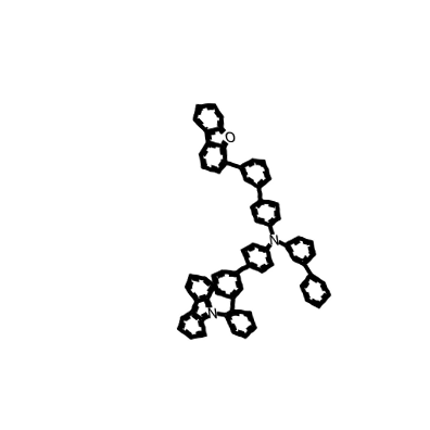 c1ccc(-c2cccc(N(c3ccc(-c4cccc(-c5ccccc5-n5c6ccccc6c6ccccc65)c4)cc3)c3ccc(-c4cccc(-c5cccc6c5oc5ccccc56)c4)cc3)c2)cc1